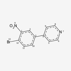 O=[N+]([O-])c1cc(-c2ccncc2)ccc1Br